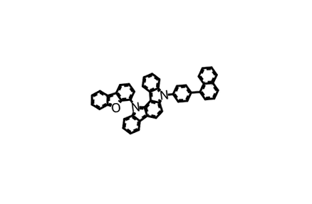 c1ccc2c(-c3ccc(-n4c5ccccc5c5c4ccc4c6ccccc6n(-c6cccc7c6oc6ccccc67)c45)cc3)cccc2c1